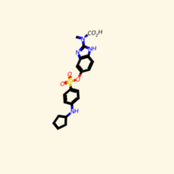 CN(C(=O)O)c1nc2cc(OS(=O)(=O)c3ccc(NC4CCCC4)cc3)ccc2[nH]1